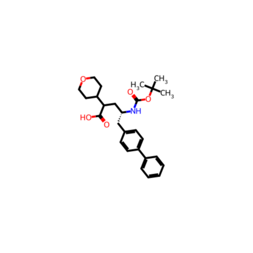 CC(C)(C)OC(=O)N[C@H](Cc1ccc(-c2ccccc2)cc1)CC(C(=O)O)C1CCOCC1